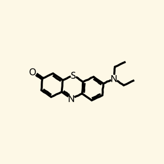 CCN(CC)c1ccc2nc3ccc(=O)cc-3sc2c1